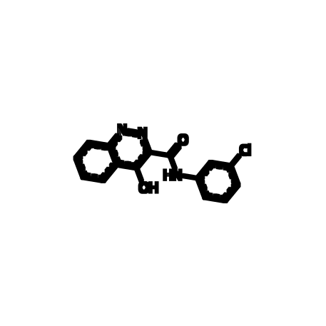 O=C(Nc1cccc(Cl)c1)c1nnc2ccccc2c1O